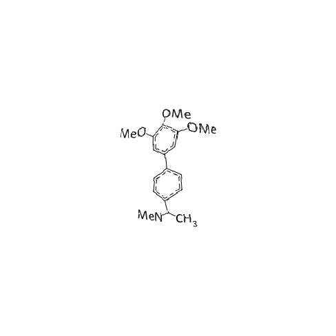 CNC(C)c1ccc(-c2cc(OC)c(OC)c(OC)c2)cc1